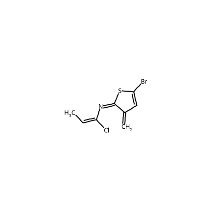 C=C1C=C(Br)S/C1=N/C(Cl)=C\C